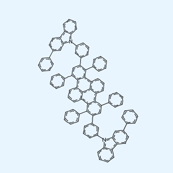 c1ccc(-c2ccc3c4ccccc4n(-c4cccc(-c5cc(-c6ccccc6)c6c7cccc8c9c(-c%10ccccc%10)c(-c%10cccc(-n%11c%12ccccc%12c%12ccc(-c%13ccccc%13)cc%12%11)c%10)cc(-c%10ccccc%10)c9c9cccc(c6c5-c5ccccc5)c9c78)c4)c3c2)cc1